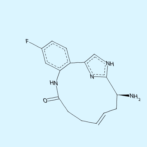 N[C@H]1C/C=C/CCC(=O)Nc2cc(F)ccc2-c2c[nH]c1n2